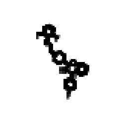 O=C(N[C@@H](c1ccc(F)cc1)c1ccccn1)C1CCN(CCOc2c(F)cccc2F)CC1